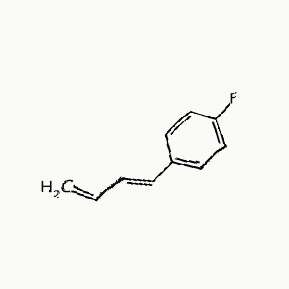 C=CC=Cc1ccc(F)cc1